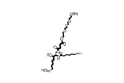 CCCCCCCCCCCCC/C=C/C(O)[C@H](COC(=O)CCC(=O)OCCOCCOCCOCCOC)NC(=O)CCCCCCCCCCCCCCC